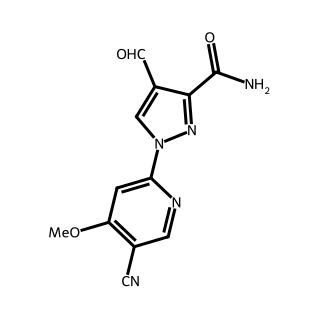 COc1cc(-n2cc(C=O)c(C(N)=O)n2)ncc1C#N